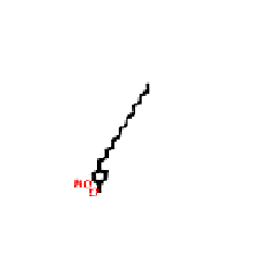 CCCCCCCCCCCCCCCc1ccc(C=O)c(O)c1